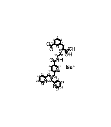 O=C([O-])c1cccc(CC(SCCNC(=O)c2ccc(CN(Cc3ccccn3)Cc3ccccn3)nc2)B(O)O)c1.[Na+]